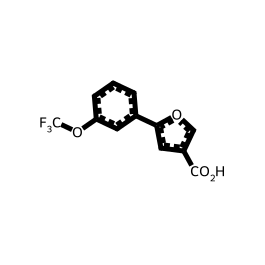 O=C(O)c1coc(-c2cccc(OC(F)(F)F)c2)c1